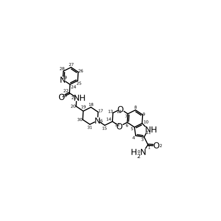 NC(=O)c1cc2c3c(ccc2[nH]1)OCC(CN1CCC(CNC(=O)c2ccccn2)CC1)O3